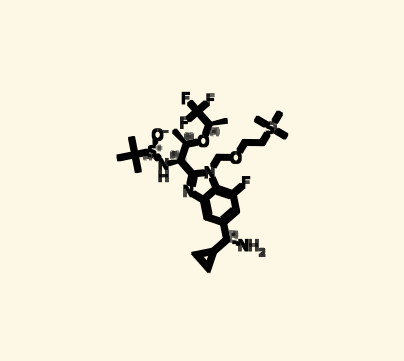 C[C@@H](O[C@H](C)C(F)(F)F)[C@H](N[S@+]([O-])C(C)(C)C)c1nc2cc([C@H](N)C3CC3)cc(F)c2n1COCC[Si](C)(C)C